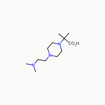 CN(C)CCN1CCN(C(C)(C)C(=O)O)CC1